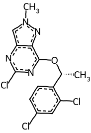 C[C@@H](Oc1nc(Cl)nc2cn(C)nc12)c1ccc(Cl)cc1Cl